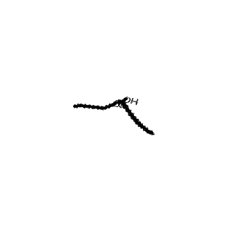 CCCCCCCCCCCCCCCCCCCCCCOC[C@@H](CO)OCCCCCCCCCCCCCCCCCCCCCC